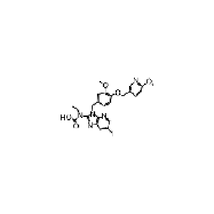 CCN(C(=O)O)c1nc2cc(I)cnc2n1Cc1ccc(OCc2ccc(OC)nc2)c(OC)c1